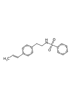 CC=Cc1ccc(CCNS(=O)(=O)c2ccccc2)cc1